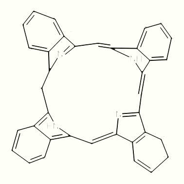 C1=CC2=C(CC1)C1=NC/2=C\c2[nH]c(c3ccccc23)CC2N=C(/C=c3\[nH]/c(c4ccccc34)=C\1)c1ccccc12